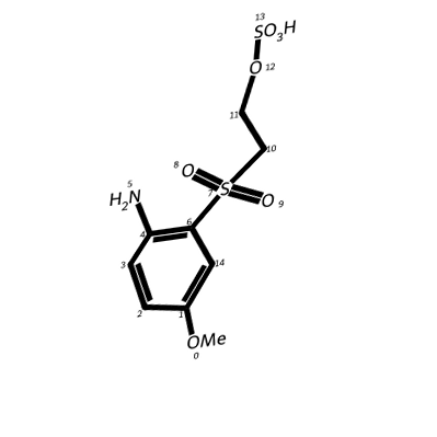 COc1ccc(N)c(S(=O)(=O)CCOS(=O)(=O)O)c1